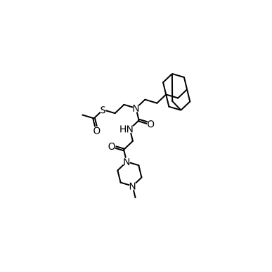 CC(=O)SCCN(CCC12CC3CC(CC(C3)C1)C2)C(=O)NCC(=O)N1CCN(C)CC1